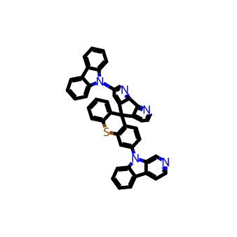 c1ccc2c(c1)Sc1cc(-n3c4ccccc4c4ccncc43)ccc1C21c2cccnc2-c2ncc(-n3c4ccccc4c4ccccc43)cc21